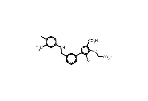 Cc1ccc(NCc2cccc(-c3sc(C(=O)O)c(OCC(=O)O)c3Br)c2)cc1[N+](=O)[O-]